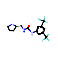 O=C(NC[C@H]1CCCN1)Nc1cc(C(F)(F)F)cc(C(F)(F)F)c1